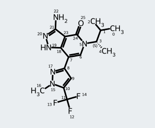 CC(C)[C@H](C)n1cc(-c2cc(C(F)(F)F)n(C)n2)c2[nH]nc(N)c2c1=O